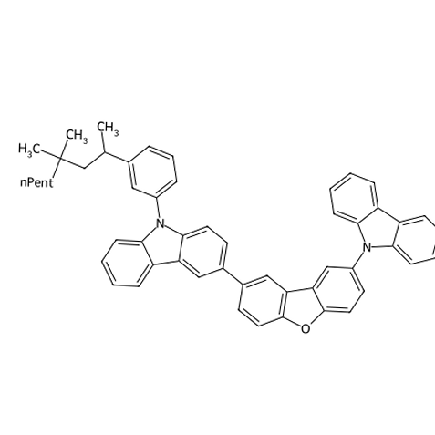 CCCCCC(C)(C)CC(C)c1cccc(-n2c3ccccc3c3cc(-c4ccc5oc6ccc(-n7c8ccccc8c8ccccc87)cc6c5c4)ccc32)c1